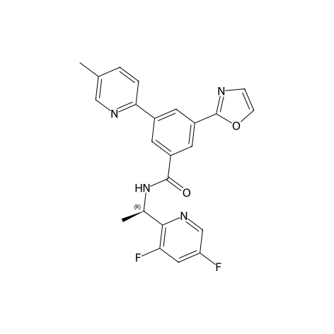 Cc1ccc(-c2cc(C(=O)N[C@H](C)c3ncc(F)cc3F)cc(-c3ncco3)c2)nc1